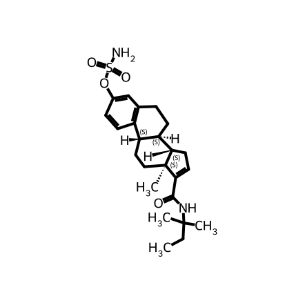 CCC(C)(C)NC(=O)C1=CC[C@H]2[C@@H]3CCc4cc(OS(N)(=O)=O)ccc4[C@H]3CC[C@]12C